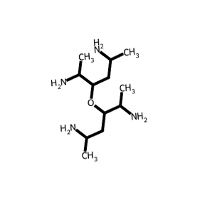 CC(N)CC(OC(CC(C)N)C(C)N)C(C)N